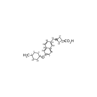 CC1CCC(Oc2ccc3cc(CN4CC(C(=O)O)C4)ccc3c2)CC1